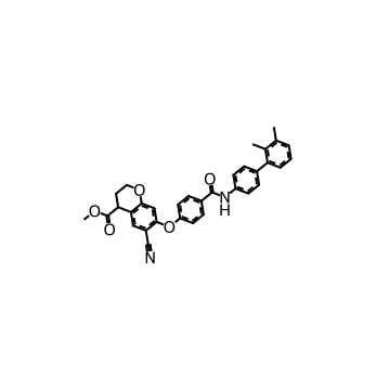 COC(=O)C1CCOc2cc(Oc3ccc(C(=O)Nc4ccc(-c5cccc(C)c5C)cc4)cc3)c(C#N)cc21